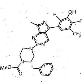 COC(=O)N1CCN(c2ncc3c(-c4cc(C(F)(F)F)c(F)c(O)c4F)nn(C)c3n2)C[C@@H]1Cc1ccccc1